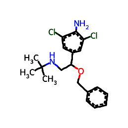 CC(C)(C)NCC(OCc1ccccc1)c1cc(Cl)c(N)c(Cl)c1